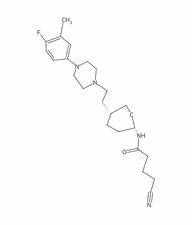 Cc1cc(N2CCN(CC[C@H]3CC[C@@H](NC(=O)CCCC#N)CC3)CC2)ccc1F